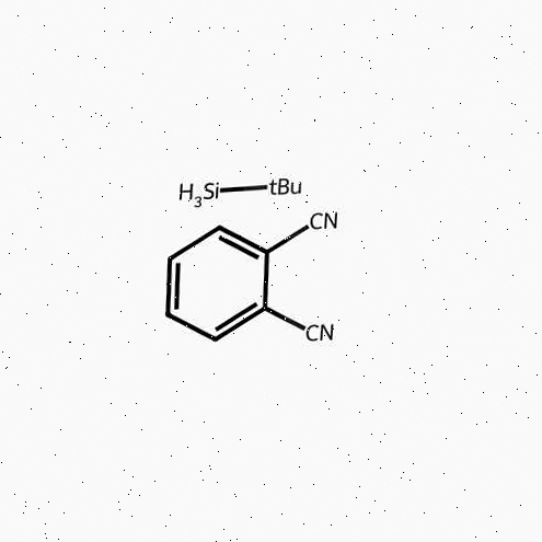 CC(C)(C)[SiH3].N#Cc1ccccc1C#N